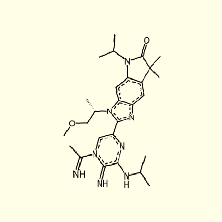 COC[C@H](C)n1c(-c2cn(C(C)=N)c(=N)c(NC(C)C)n2)nc2cc3c(cc21)N(C(C)C)C(=O)C3(C)C